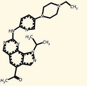 CCN1CCN(c2ccc(Nc3ncc4cc(C(C)=O)c5cnn(C(C)C)c5c4n3)nc2)CC1